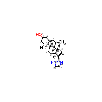 C[C@@H]1C=C2C[C@H](O)CC[C@]2(C)[C@H]2CC[C@]3(C)C(c4ncc[nH]4)=CC[C@H]3[C@H]12